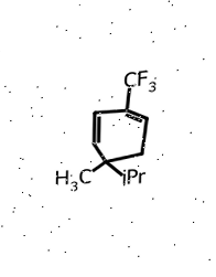 CC(C)C1(C)C=CC(C(F)(F)F)=CC1